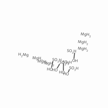 O=S(=O)(O)O.O=S(=O)(O)O.O=S(=O)(O)O.O=S(=O)(O)O.O=S(=O)(O)O.[MgH2].[MgH2].[MgH2].[MgH2].[MgH2].[MgH2].[MgH2]